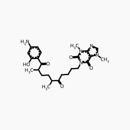 CC(CCC(C)C(=O)c1ccc(N)cc1O)C(=O)CCCCn1c(=O)c2c(ncn2C)n(C)c1=O